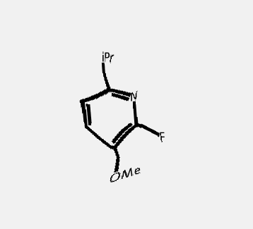 COc1ccc(C(C)C)nc1F